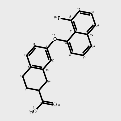 O=C(O)C1CCc2ccc(Oc3cccc4cccc(F)c34)cc2C1